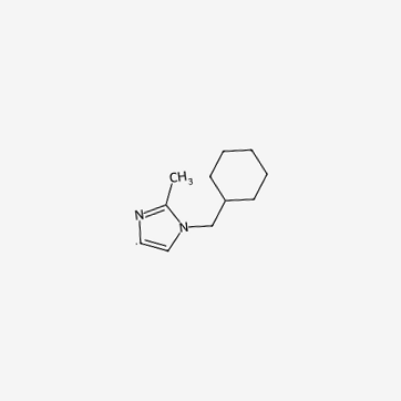 Cc1n[c]cn1CC1CCCCC1